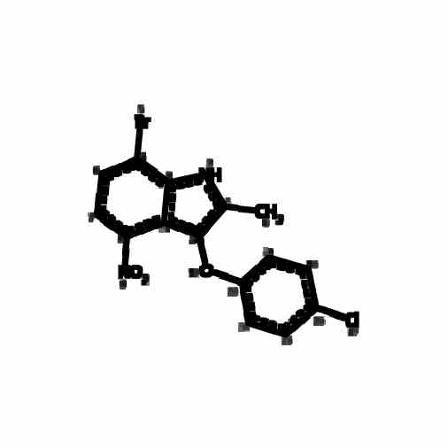 Cc1[nH]c2c(Br)ccc([N+](=O)[O-])c2c1Oc1ccc(Cl)cc1